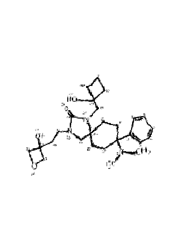 CN(C)C1(c2ccccc2)CCC2(CC1)CN(CCC1(O)COC1)C(=O)N2CC1(O)CCC1